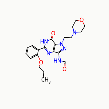 CCCOc1ccccc1-c1nc2c(NC=O)nn(CCN3CCOCC3)c2c(=O)[nH]1